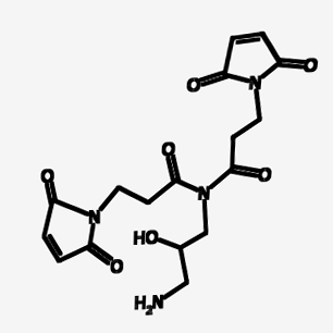 NCC(O)CN(C(=O)CCN1C(=O)C=CC1=O)C(=O)CCN1C(=O)C=CC1=O